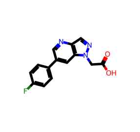 O=C(O)Cn1ncc2ncc(-c3ccc(F)cc3)cc21